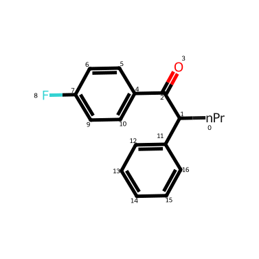 CCCC(C(=O)c1ccc(F)cc1)c1ccccc1